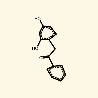 O=C(Cc1ccc(O)cc1O)c1ccccc1